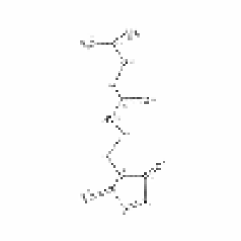 C=C1C=CC(=O)N1CCNC(=O)COC(C)C